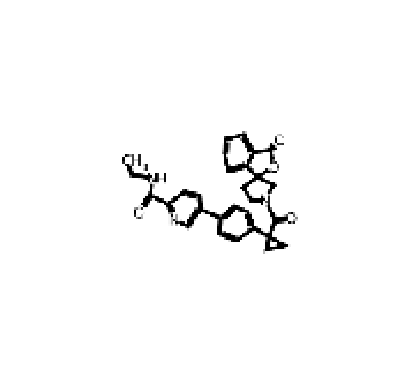 CCNC(=O)c1ccc(-c2ccc(C3(C(=O)N4CCC5(C4)OC(=O)c4ccccc45)CC3)cc2)cn1